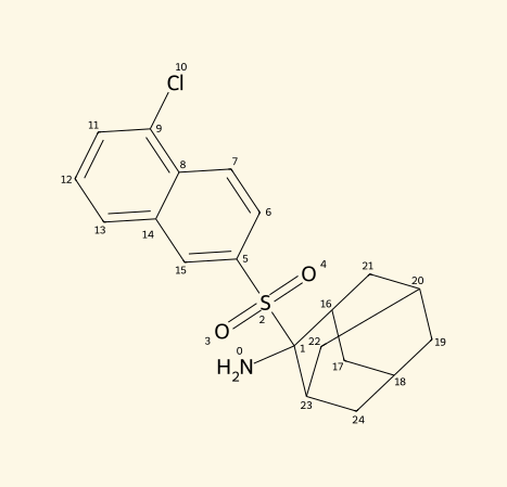 NC1(S(=O)(=O)c2ccc3c(Cl)cccc3c2)C2CC3CC(C2)CC1C3